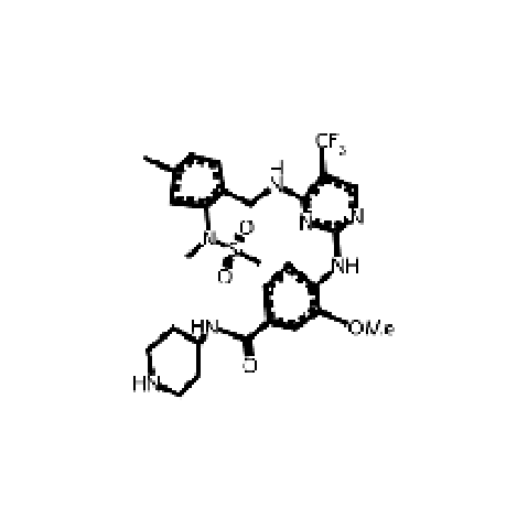 COc1cc(C(=O)NC2CCNCC2)ccc1Nc1ncc(C(F)(F)F)c(NCc2ccc(C)cc2N(C)S(C)(=O)=O)n1